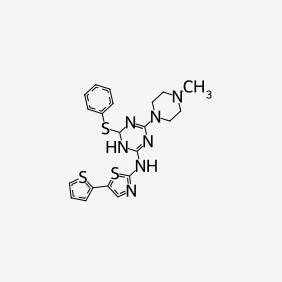 CN1CCN(C2=NC(Sc3ccccc3)NC(Nc3ncc(-c4cccs4)s3)=N2)CC1